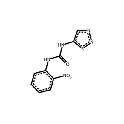 O=C(Nc1cnns1)Nc1ccccc1[N+](=O)[O-]